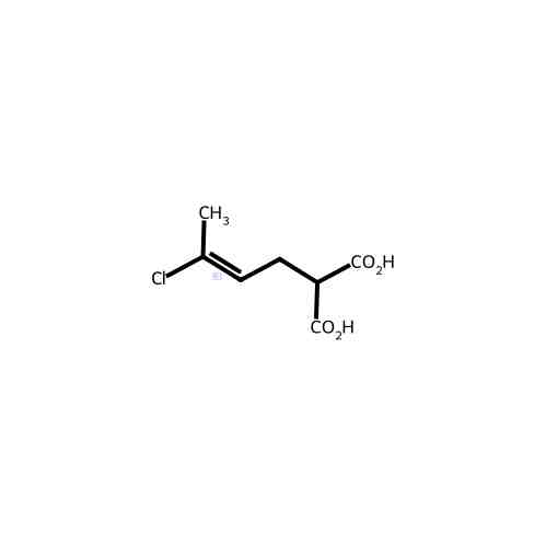 C/C(Cl)=C\CC(C(=O)O)C(=O)O